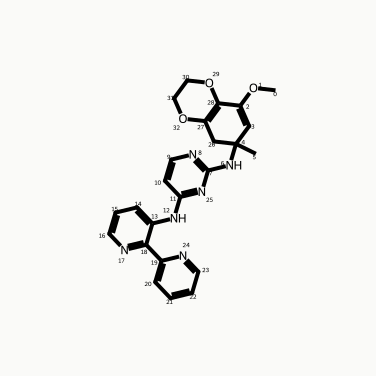 COC1=CC(C)(Nc2nccc(Nc3cccnc3-c3ccccn3)n2)CC2=C1OCCO2